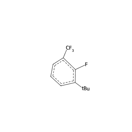 CC(C)(C)c1cccc(C(F)(F)F)c1F